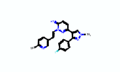 Cn1cc(-c2ccc(=N)n(/C=C/c3ccc(C#N)nc3)n2)c(-c2ccc(F)cc2)n1